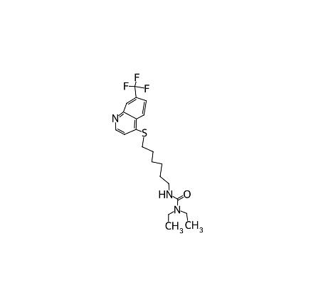 CCN(CC)C(=O)NCCCCCCSc1ccnc2cc(C(F)(F)F)ccc12